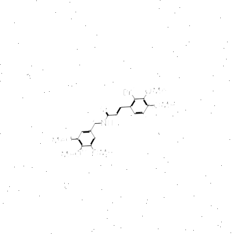 COc1cc(CNC(=O)C=Cc2ccc(OC)c(OC)c2Br)cc(OC)c1OC